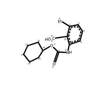 CCc1cccc(NC(=O)OC2CCCCC2)c1C(=O)O